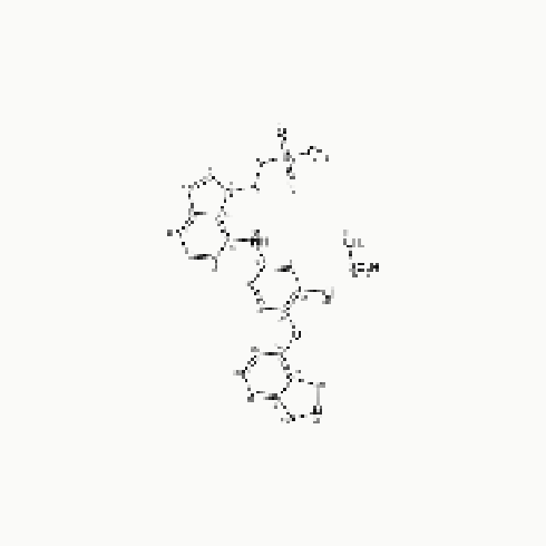 CS(=O)(=O)CCn1ccc2ncnc(Nc3ccc(Oc4cccc5sncc45)c(Cl)c3)c21.CS(=O)(=O)O